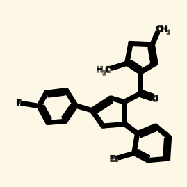 CCc1ccccc1C1CC(c2ccc(F)cc2)=CC1C(=O)C1=C(C)CC(C)=C1